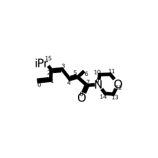 C=C/C(=C\C=C(/C)C(=O)N1CCOCC1)C(C)C